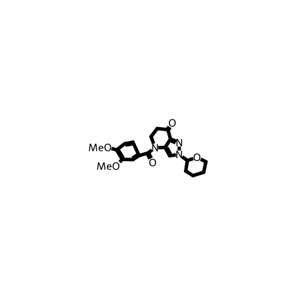 COc1ccc(C(=O)N2CCC(=O)c3nn(C4CCCCO4)cc32)cc1OC